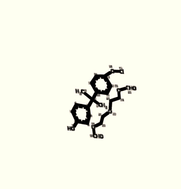 CC(C)(c1ccc(O)cc1)c1ccc(OCl)cc1.O=COCCOCCOC=O